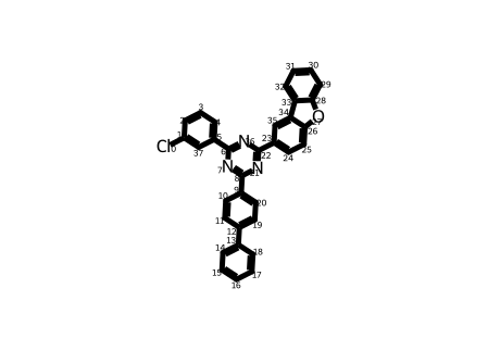 Clc1cccc(-c2nc(-c3ccc(-c4ccccc4)cc3)nc(-c3ccc4oc5ccccc5c4c3)n2)c1